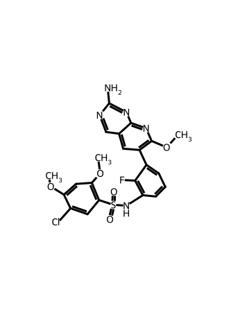 COc1cc(OC)c(S(=O)(=O)Nc2cccc(-c3cc4cnc(N)nc4nc3OC)c2F)cc1Cl